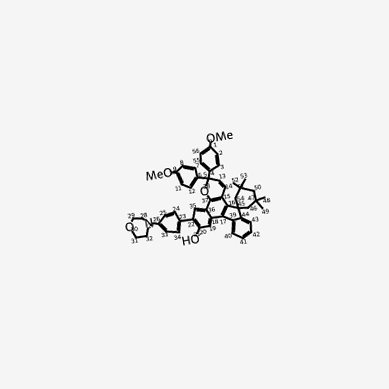 COc1ccc(C2(c3ccc(OC)cc3)C=Cc3c4c(c5cc(O)c(-c6ccc(N7CCOCC7)cc6)cc5c3O2)-c2ccccc2C42CC(C)(C)CC(C)(C)C2)cc1